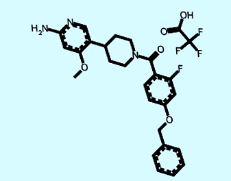 COc1cc(N)ncc1C1CCN(C(=O)c2ccc(OCc3ccccc3)cc2F)CC1.O=C(O)C(F)(F)F